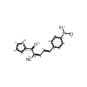 CCN(CC)c1ccc(C=CC=C(C#N)C(=O)c2cccs2)cc1